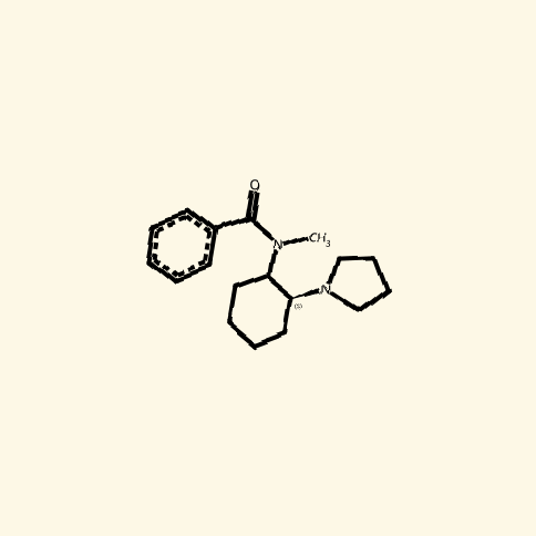 CN(C(=O)c1ccccc1)C1CCCC[C@@H]1N1CCCC1